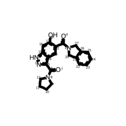 O=C(c1cc2c(C(=O)N3CCCC3)n[nH]c2cc1O)N1Cc2ccccc2C1